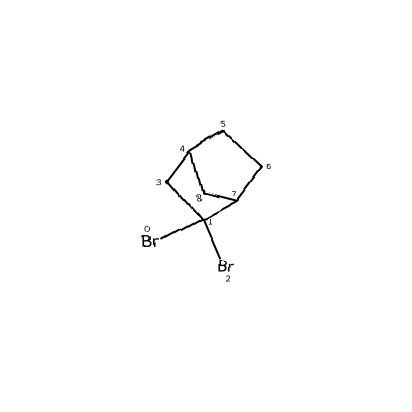 BrC1(Br)CC2CCC1C2